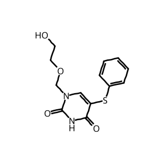 O=c1[nH]c(=O)n(COCCO)cc1Sc1ccccc1